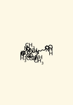 C=C(OC(C)(C)C)C(CCN(CCCCc1ccc2c(n1)NCCC2)CCNC(C)=O)Nc1cc(C)nc(-c2ccncc2)n1